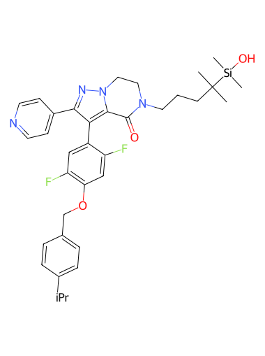 CC(C)c1ccc(COc2cc(F)c(-c3c(-c4ccncc4)nn4c3C(=O)N(CCCC(C)(C)[Si](C)(C)O)CC4)cc2F)cc1